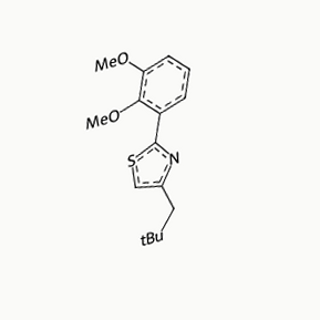 COc1cccc(-c2nc(CC(C)(C)C)cs2)c1OC